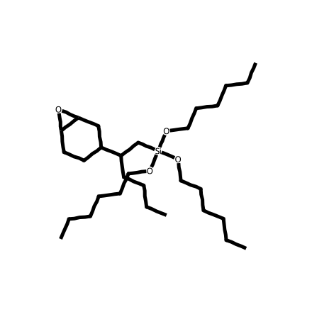 CCCCCCO[Si](CC(CCCC)C1CCC2OC2C1)(OCCCCCC)OCCCCCC